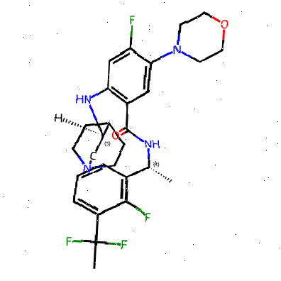 C[C@@H](NC(=O)c1cc(N2CCOCC2)c(F)cc1N[C@@H]1CN2CCC1CC2)c1cccc(C(C)(F)F)c1F